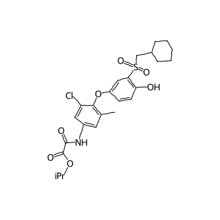 Cc1cc(NC(=O)C(=O)OC(C)C)cc(Cl)c1Oc1ccc(O)c(S(=O)(=O)CC2CCCCC2)c1